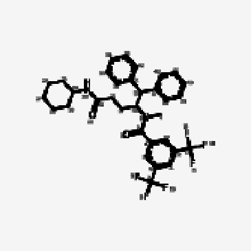 CN(C(=O)c1cc(C(F)(F)F)cc(C(F)(F)F)c1)C(CCC(=O)NC1CCCCC1)C(c1ccccc1)c1ccccc1